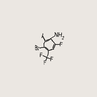 Nc1c(F)cc(C(F)(F)F)c(Br)c1I